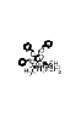 CC(=O)N[C@@H]1[C@@H](OCc2ccccc2)[C@@H](OCc2ccccc2)[C@@H](COCc2ccccc2)O[C@@H]1C#C[Si](C)(C)C